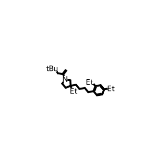 C=C(CC(C)(C)C)N1CCC(CC)(CCCCc2ccc(CC)cc2CC)C1